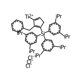 CC(C)c1cc(C(C)C)cc([Si](C2=C(Cc3ccccc3)[C]([Ti+3])=CC2)(c2cc(C(C)C)cc(C(C)C)c2)c2cc(C(C)C)cc(C(C)C)c2)c1.[Cl-].[Cl-].[Cl-]